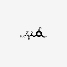 CC(C)c1cc(CC(=O)N[S+](C)[O-])cc(C(C)C)c1